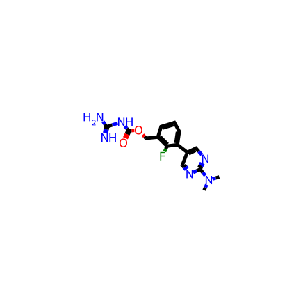 CN(C)c1ncc(-c2cccc(COC(=O)NC(=N)N)c2F)cn1